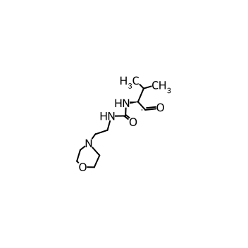 CC(C)[C@@H]([C]=O)NC(=O)NCCN1CCOCC1